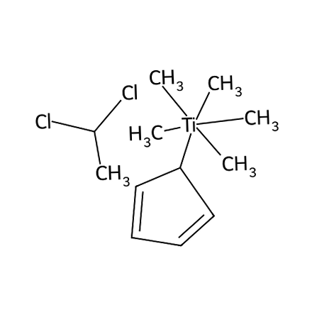 CC(Cl)Cl.[CH3][Ti]([CH3])([CH3])([CH3])([CH3])[CH]1C=CC=C1